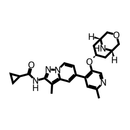 Cc1cc(-c2ccn3nc(NC(=O)C4CC4)c(C)c3c2)c(O[C@H]2C[C@H]3COC[C@@H](C2)N3)cn1